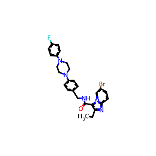 CCc1nc2ccc(Br)cn2c1C(=O)NCc1ccc(N2CCN(c3ccc(F)cc3)CC2)cc1